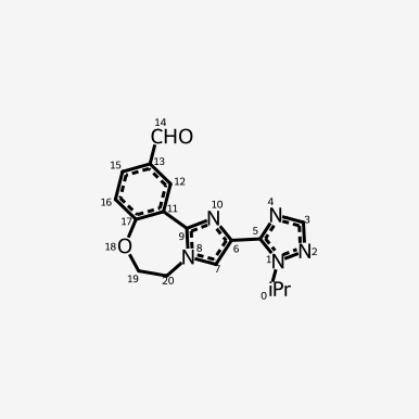 CC(C)n1ncnc1-c1cn2c(n1)-c1cc(C=O)ccc1OCC2